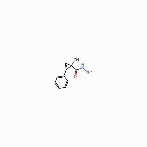 CC(C)NC(=O)C1(C#N)C=C1c1ccccc1